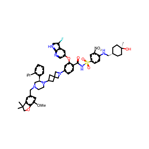 COc1cc(CN2CCN(C3CC4(C3)CN(c3ccc(C(=O)NS(=O)(=O)c5ccc(NC[C@H]6CC[C@](C)(O)CC6)c([N+](=O)[O-])c5)c(Oc5cnc6[nH]cc(F)c6c5)c3)C4)[C@H](c3ccccc3C(C)C)C2)cc2c1OCC2(C)C